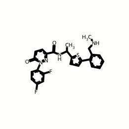 CNCc1ccccc1-c1ccc(C(C)NC(=O)c2ccc(=O)n(-c3ccc(F)cc3F)n2)s1